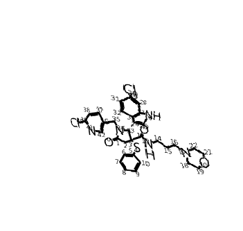 O=C1C[C@](Sc2ccccc2)(C(=O)NCCCN2CCOCC2)[C@@H](c2c[nH]c3cc(Cl)ccc23)N1Cc1ccc(Cl)nc1